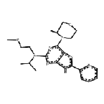 COCCN(c1nc(N2CCOC[C@@H]2C)c2nc(-c3ccccn3)[nH]c2n1)C(C)C